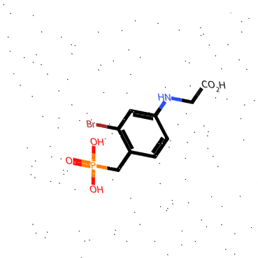 O=C(O)CNc1ccc(CP(=O)(O)O)c(Br)c1